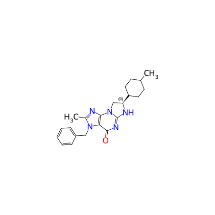 Cc1nc2c(c(=O)nc3n2C[C@@H](C2CCC(C)CC2)N3)n1Cc1ccccc1